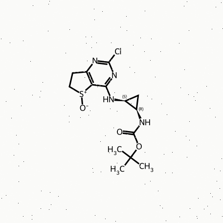 CC(C)(C)OC(=O)N[C@@H]1C[C@@H]1Nc1nc(Cl)nc2c1[S+]([O-])CC2